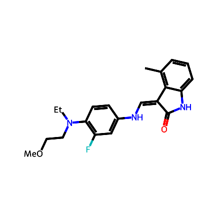 CCN(CCOC)c1ccc(NC=C2C(=O)Nc3cccc(C)c32)cc1F